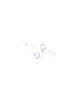 CC(C)(C)OC(=O)N1CCC[C@H](Nc2ncc(C(F)(F)F)c(-c3cn(C(=O)OC(C)(C)C)c4ncccc34)n2)C1